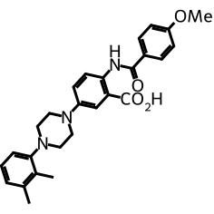 COc1ccc(C(=O)Nc2ccc(N3CCN(c4cccc(C)c4C)CC3)cc2C(=O)O)cc1